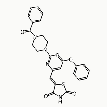 O=C1NC(=O)/C(=C/c2cc(Oc3ccccc3)nc(N3CCN(C(=O)c4ccccc4)CC3)n2)S1